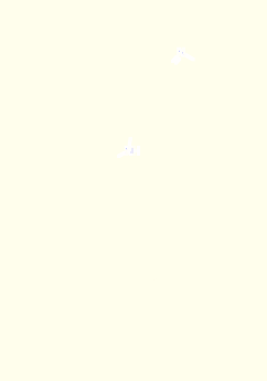 O=C(/C=C/c1cccnc1)NCC1Cc2cc(-c3cc(F)c(F)c(F)c3)cc(Cl)c2O1